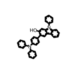 Oc1cc2c(cc1-c1ccc(N(c3ccccc3)c3ccccc3)cc1)c1ccccc1n2-c1ccccc1